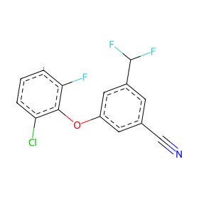 N#Cc1cc(Oc2c(F)[c]ccc2Cl)cc(C(F)F)c1